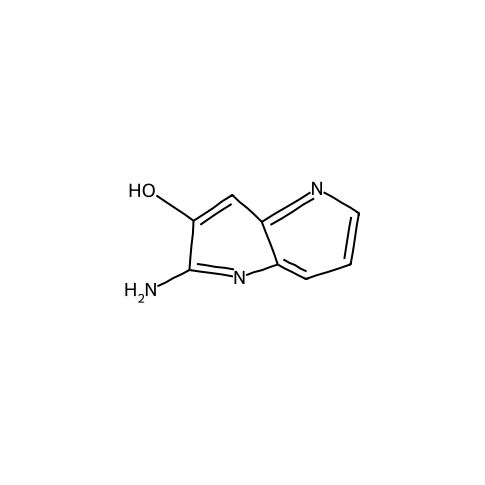 Nc1nc2cccnc2cc1O